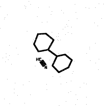 C#N.C1CCC(C2CCCCC2)CC1